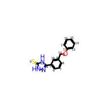 S=c1[nH]nc(-c2cccc(COc3ccccc3)c2)[nH]1